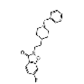 O=c1c2ccc(F)cc2on1CCC1CCN(Cc2ccccc2)CC1